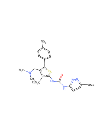 CCOC(=O)c1c(NC(=O)Nc2ccc(OC)nn2)sc(-c2ccc([N+](=O)[O-])cc2)c1CN(C)C